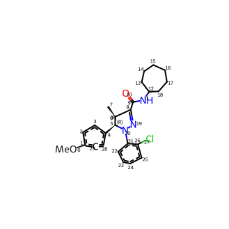 COc1ccc([C@H]2[C@@H](C)C(C(=O)NC3CCCCCC3)=NN2c2ccccc2Cl)cc1